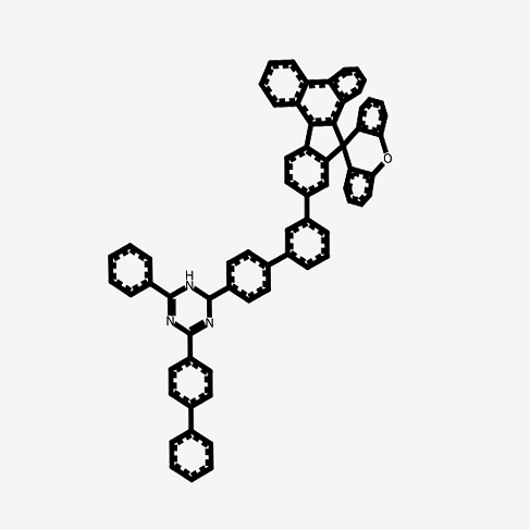 c1ccc(C2=NC(c3ccc(-c4ccccc4)cc3)=NC(c3ccc(-c4cccc(-c5ccc6c(c5)C5(c7ccccc7Oc7ccccc75)c5c-6c6ccccc6c6ccccc56)c4)cc3)N2)cc1